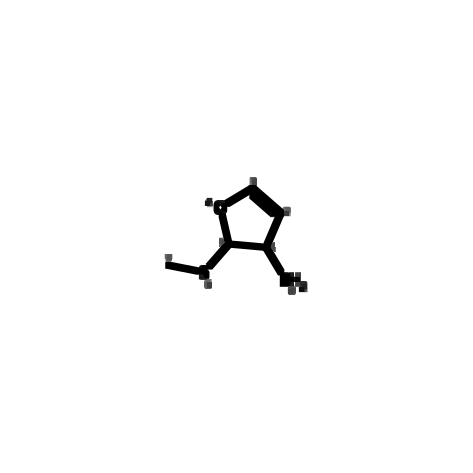 BC1C=COC1SC